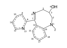 CN1CC(O)CN=C(c2ccccn2)c2ccccc21